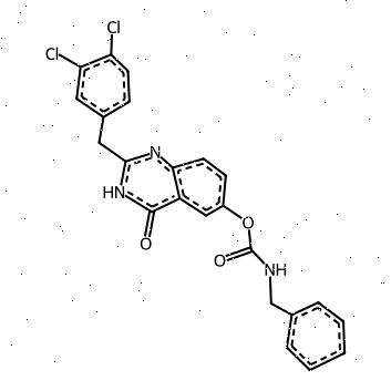 O=C(NCc1ccccc1)Oc1ccc2nc(Cc3ccc(Cl)c(Cl)c3)[nH]c(=O)c2c1